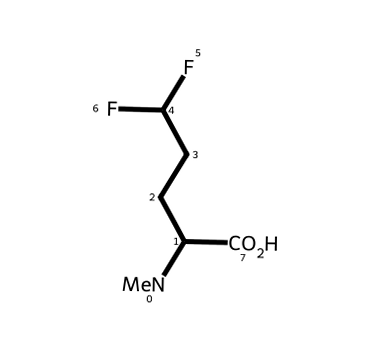 CNC(CCC(F)F)C(=O)O